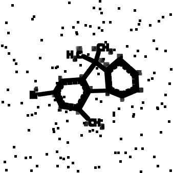 Cc1cc(Br)cc2c1-c1ccccc1C2(C)C